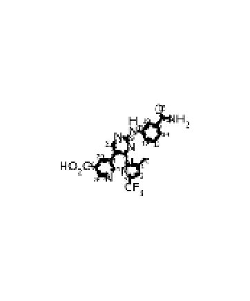 Cc1cc(C(F)(F)F)nn1-c1nc(Nc2cccc(C(N)=O)c2)ncc1-c1cncc(C(=O)O)c1